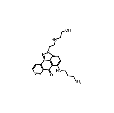 NCCCNc1ccc2c3c(nn2CCNCCO)-c2ccncc2C(=O)c13